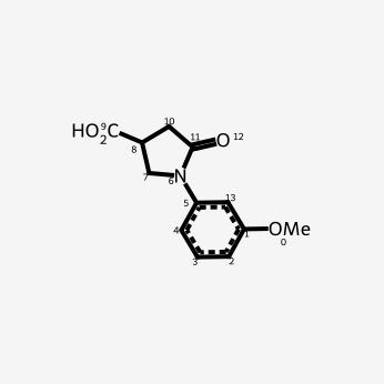 COc1cccc(N2CC(C(=O)O)CC2=O)c1